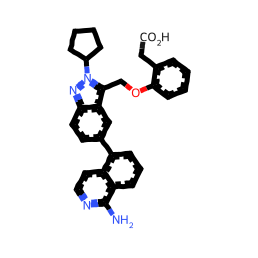 Nc1nccc2c(-c3ccc4nn(C5CCCC5)c(COc5ccccc5CC(=O)O)c4c3)cccc12